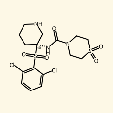 O=C(N[C@]1(S(=O)(=O)c2c(Cl)cccc2Cl)CCCNC1)N1CCS(=O)(=O)CC1